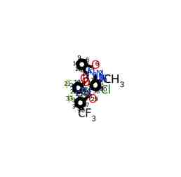 Cn1nc(N2C(=O)c3ccccc3C2=O)c2c(Oc3cc(F)ccc3Cl)c(NC(=O)c3cc(F)cc(C(F)(F)F)c3)cc(Cl)c21